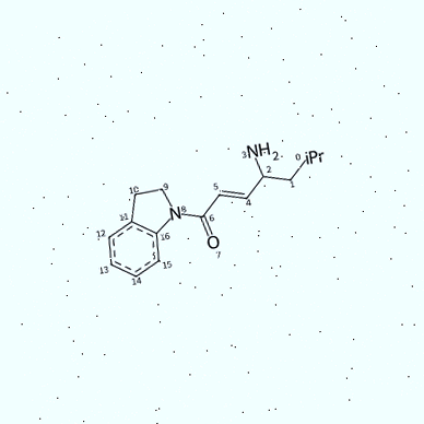 CC(C)CC(N)C=CC(=O)N1CCc2ccccc21